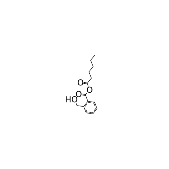 CCCCCC(=O)OC(=O)c1ccccc1CO